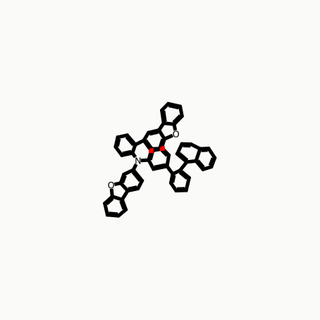 c1cc(-c2ccccc2-c2cccc3ccccc23)cc(N(c2ccc3c(c2)oc2ccccc23)c2ccccc2-c2ccc3oc4ccccc4c3c2)c1